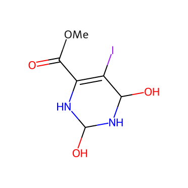 COC(=O)C1=C(I)C(O)NC(O)N1